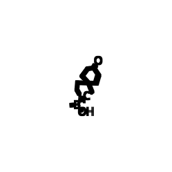 CB(O)N1CCC2(C=CC(=O)CC2)CC1